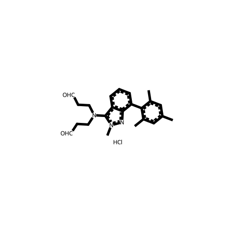 Cc1cc(C)c(-c2cccc3c(N(CCC=O)CCC=O)n(C)nc23)c(C)c1.Cl